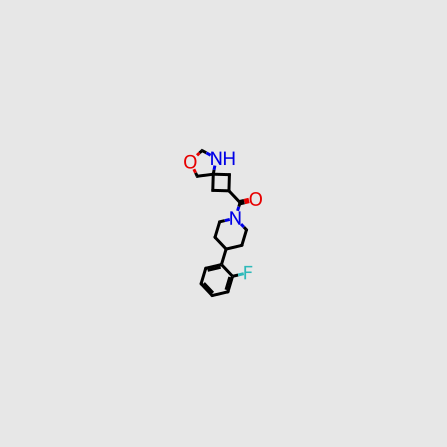 O=C(C1CC2(COCN2)C1)N1CCC(c2ccccc2F)CC1